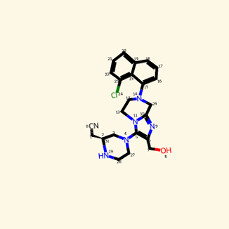 N#CC[C@H]1CN(c2c(CO)nc3n2CCN(c2cccc4cccc(Cl)c24)C3)CCN1